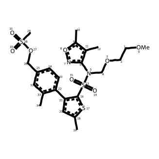 COCCOCN(c1noc(C)c1C)S(=O)(=O)c1sc(C)cc1-c1ccc(COS(C)(=O)=O)cc1C